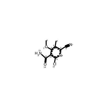 COc1c(C)c(C#N)nc(Cl)c1C(N)=O